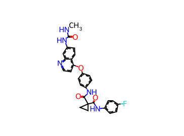 CNC(=O)Nc1ccc2c(Oc3ccc(NC(=O)C4(C(=O)Nc5ccc(F)cc5)CC4)cc3)ccnc2c1